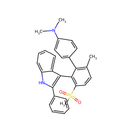 Cc1ccc(S(C)(=O)=O)c(-c2c(-c3ccccc3)[nH]c3ccccc23)c1-c1ccc(N(C)C)cc1